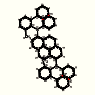 Cc1cccc(-c2ccccc2)c1N(c1ccccc1)c1ccc2ccc3c(N(c4ccccc4)c4c(C)cccc4-c4ccccc4)ccc4ccc1c2c43